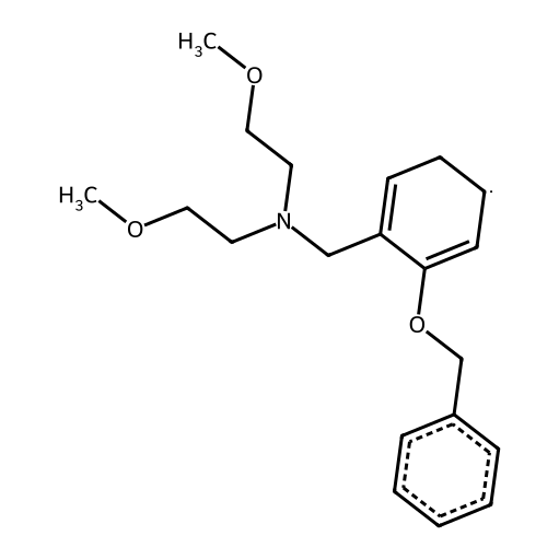 COCCN(CCOC)CC1=CC[CH]C=C1OCc1ccccc1